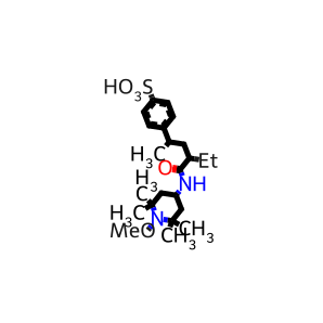 CCC(CC(C)c1ccc(S(=O)(=O)O)cc1)C(=O)NC1CC(C)(C)N(OC)C(C)(C)C1